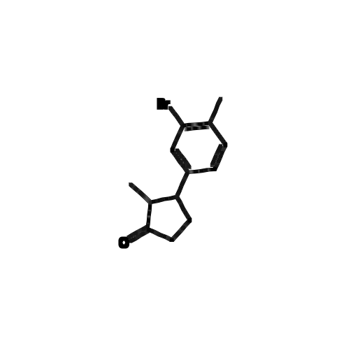 Cc1ccc(C2CCC(=O)C2C)cc1Br